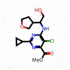 COC(=O)c1nc(C2CC2)nc(NC(CO)C2CCOC2)c1Cl